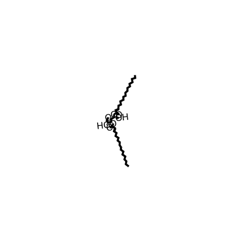 CCCCCCCCCCCCCCCC=CC(=O)O[C@H]1[C@@H]([C@@H](CO)OC(=O)C=CCCCCCCCCCCCCCCC)OC[C@@H]1O